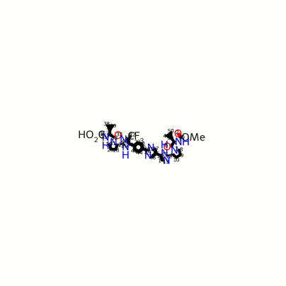 COC(=O)N[C@H](C(=O)N1CCC[C@H]1c1ncc(-c2cnc(-c3ccc(-c4[nH]c([C@@H]5CCCN5C(=O)[C@@H](NC(=O)O)C5CC5)nc4C(F)(F)F)cc3)nc2)[nH]1)C1CC1